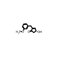 O=C1C[C@@H](O)C=C1Cc1cccc(OP)c1